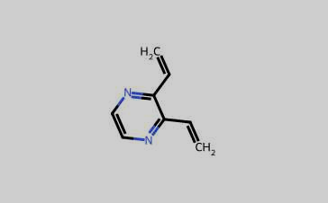 C=Cc1nccnc1C=C